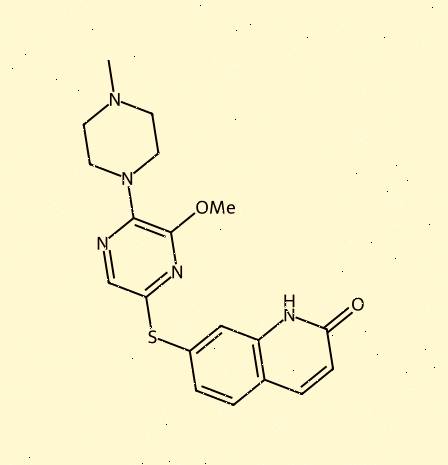 COc1nc(Sc2ccc3ccc(=O)[nH]c3c2)cnc1N1CCN(C)CC1